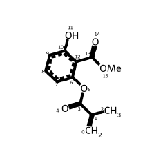 C=C(C)C(=O)Oc1cccc(O)c1C(=O)OC